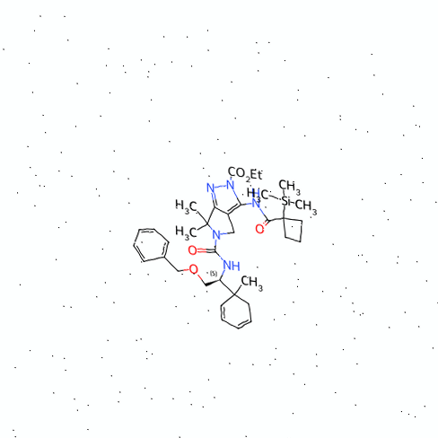 CCOC(=O)n1nc2c(c1NC(=O)C1([Si](C)(C)C)CCC1)CN(C(=O)N[C@H](COCc1ccccc1)C1(C)C=CC=CC1)C2(C)C